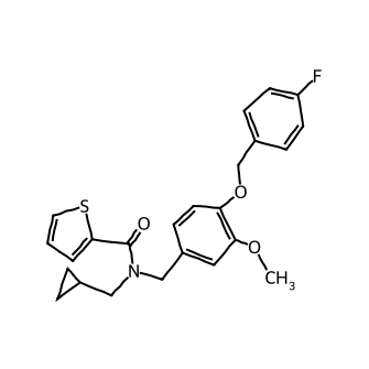 COc1cc(CN(CC2CC2)C(=O)c2cccs2)ccc1OCc1ccc(F)cc1